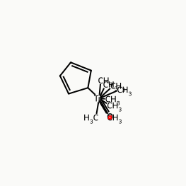 [CH3][Ti]([CH3])([CH3])([CH3])([CH3])([CH3])([CH3])([CH3])(=[O])[CH]1C=CC=C1